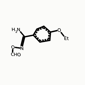 CCOc1ccc(/C(N)=N/OC=O)cc1